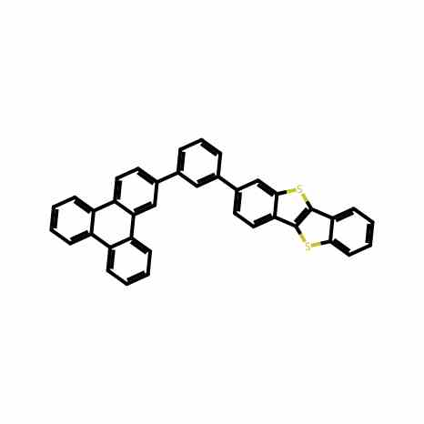 c1cc(-c2ccc3c(c2)sc2c4ccccc4sc32)cc(-c2ccc3c4ccccc4c4ccccc4c3c2)c1